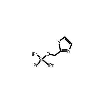 CC(C)[Si](OCc1nccs1)(C(C)C)C(C)C